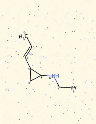 C/C=C/C1CC1NCC(C)C